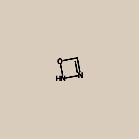 c1n[nH]o1